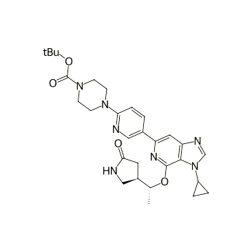 C[C@@H](Oc1nc(-c2ccc(N3CCN(C(=O)OC(C)(C)C)CC3)nc2)cc2ncn(C3CC3)c12)[C@H]1CNC(=O)C1